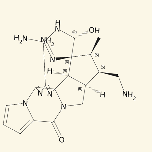 C[C@H]1[C@@H](CN)[C@H]2CN3C(=O)c4cccn4C4=NC(N)=NC43[C@H]2[C@@]12N=C(N)N[C@@H]2O